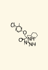 Cc1cc(OCC2(CC3CCCCC3)NC(=N)N(C)C2=O)ccc1Cl